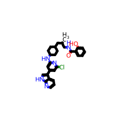 CC(CNC(=O)c1ccccc1O)CC1CCC(Nc2cc(-c3c[nH]c4ncccc34)cc(Cl)n2)CC1